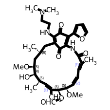 CO[C@H]1/C=C\C=C(/C)C(=O)NC2=C(c3ccco3)C(=O)C(NCCN(C)C)=C(C[C@@H](C)C[C@H](OC)[C@H](O)[C@@H](C)/C=C(\C)[C@@H]1OC=O)C2=O